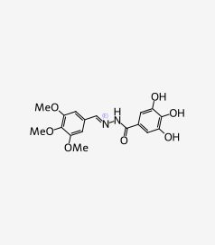 COc1cc(/C=N/NC(=O)c2cc(O)c(O)c(O)c2)cc(OC)c1OC